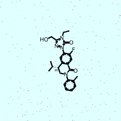 CCn1c(CO)nn(-c2cc3c(cc2F)C(=O)N(c2ccccc2C)C[C@@H]3C(C)C)c1=O